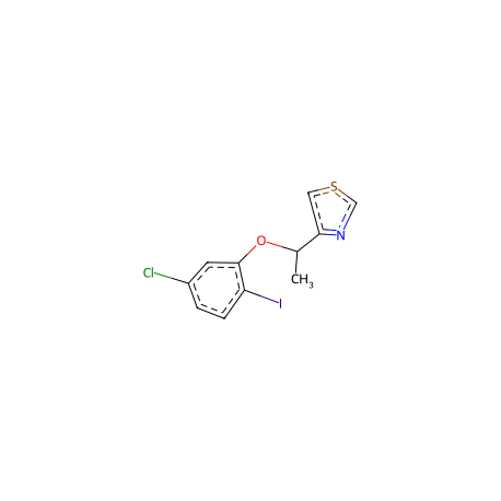 CC(Oc1cc(Cl)ccc1I)c1cscn1